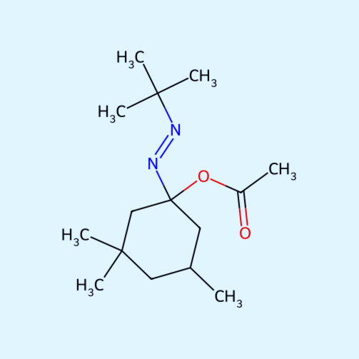 CC(=O)OC1(/N=N/C(C)(C)C)CC(C)CC(C)(C)C1